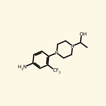 CC(O)N1CCN(c2ccc(N)cc2C(F)(F)F)CC1